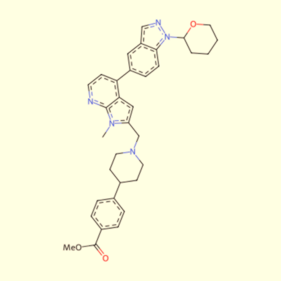 COC(=O)c1ccc(C2CCN(Cc3cc4c(-c5ccc6c(cnn6C6CCCCO6)c5)ccnc4n3C)CC2)cc1